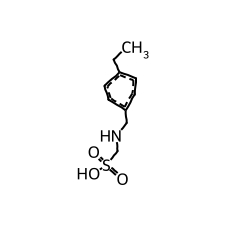 CCc1ccc(CNCS(=O)(=O)O)cc1